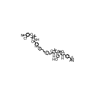 Cc1ncsc1-c1ccc([C@H](CO)NC(=O)[C@@H]2C[C@@H](O)CN2C(=O)[C@@H](NC(=O)CN2CCN(CCC3CCN(c4ccc(C(=O)NC5C(C)(C)C(Oc6ccc(C#N)c(Cl)c6)C5(C)C)cn4)C3)CC2)C(C)(C)C)cc1